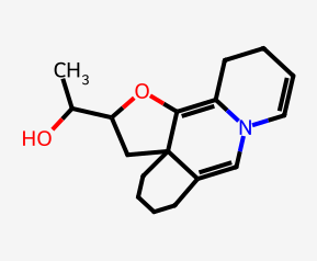 CC(O)C1CC23CCCCC2=CN2C=CCCC2=C3O1